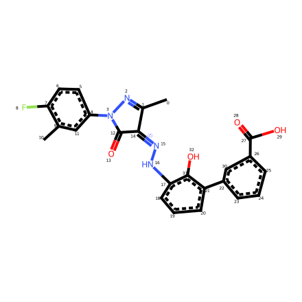 CC1=NN(c2ccc(F)c(C)c2)C(=O)/C1=N\Nc1cccc(-c2cccc(C(=O)O)c2)c1O